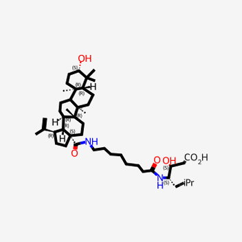 C=C(C)[C@@H]1CC[C@]2(C(=O)NCCCCCCCC(=O)N[C@@H](CC(C)C)[C@@H](O)CC(=O)O)CC[C@]3(C)[C@H](CCC4[C@@]5(C)CC[C@H](O)C(C)(C)[C@@H]5CC[C@]43C)[C@@H]12